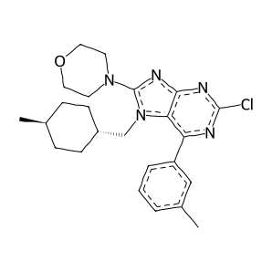 Cc1cccc(-c2nc(Cl)nc3nc(N4CCOCC4)n(C[C@H]4CC[C@H](C)CC4)c23)c1